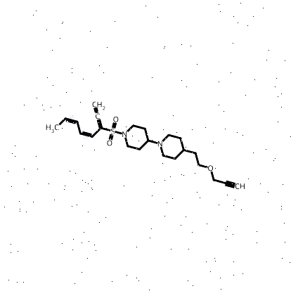 C#CCOCCC1CCN(C2CCN(S(=O)(=O)C(=C=C)/C=C\C=C/C)CC2)CC1